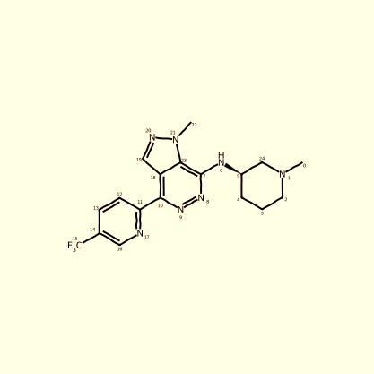 CN1CCC[C@@H](Nc2nnc(-c3ccc(C(F)(F)F)cn3)c3cnn(C)c23)C1